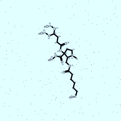 CCCCCCCCCCCCCCCC(=O)OCC1N(C)CCC1(OC(=O)CCC(OCCCCCCCC)OCCCCCCCC)C(=O)OCCC